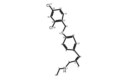 CCNCC(C)=Cc1ccc(SCc2ccc(Cl)cc2Cl)cc1